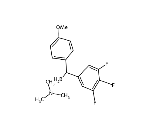 BC(c1ccc(OC)cc1)c1cc(F)c(F)c(F)c1.CN(C)C